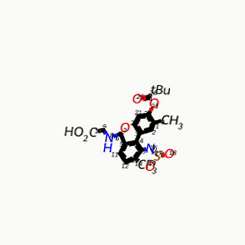 Cc1cc(-c2c(C(=O)NCC(=O)O)ccc(C(F)(F)F)c2N=S(=O)=O)ccc1OC(=O)C(C)(C)C